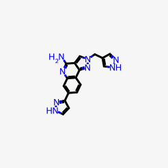 Nc1nc2cc(-c3cc[nH]n3)ccc2c2nn(Cc3cn[nH]c3)cc12